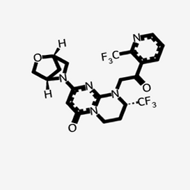 O=C(CN1c2nc(N3C[C@@H]4C[C@H]3CO4)cc(=O)n2CC[C@H]1C(F)(F)F)c1cccnc1C(F)(F)F